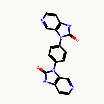 O=c1[nH]c2ccncc2n1-c1ccc(-n2c(=O)[nH]c3ccncc32)cc1